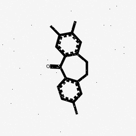 Cc1ccc2c(c1)CCc1cc(C)c(C)cc1C2=O